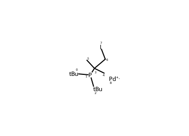 CC(C)(C)P(C(C)(C)C)C(C)(C)CI.[Pd+]